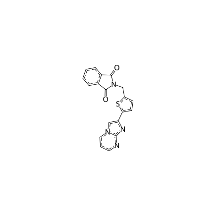 O=C1c2ccccc2C(=O)N1Cc1ccc(-c2cn3cccnc3n2)s1